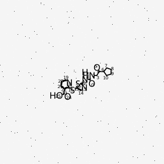 O=C(NCC(=O)C1CCCC1)Nc1ncc(Sc2ncccc2C(=O)O)s1